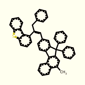 Cc1cc2c(c3ccccc13)-c1ccc(/C=C(/Cc3ccccc3)c3cccc4sc5ccccc5c34)cc1C2(c1ccccc1)c1ccccc1